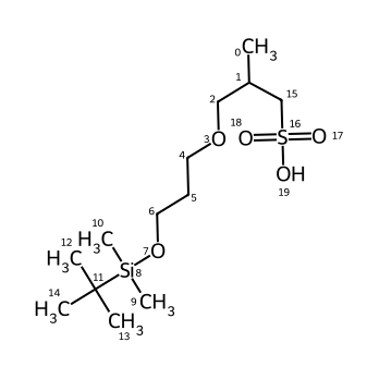 CC(COCCCO[Si](C)(C)C(C)(C)C)CS(=O)(=O)O